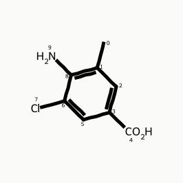 Cc1cc(C(=O)O)cc(Cl)c1N